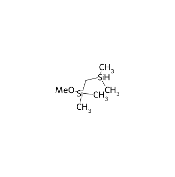 CO[Si](C)(C)C[SiH](C)C